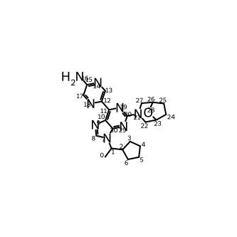 CC(C1CCCC1)n1cnc2c(-c3cnc(N)cn3)nc(N3CC4CCC(C3)O4)nc21